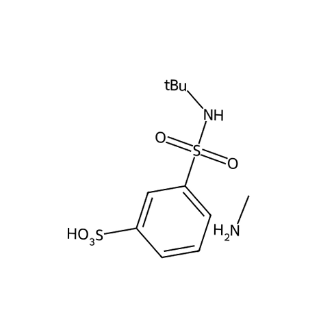 CC(C)(C)NS(=O)(=O)c1cccc(S(=O)(=O)O)c1.CN